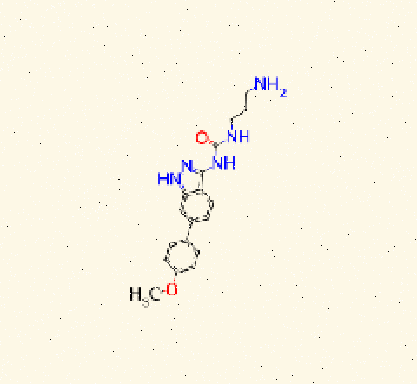 COc1ccc(-c2ccc3c(NC(=O)NCCCN)n[nH]c3c2)cc1